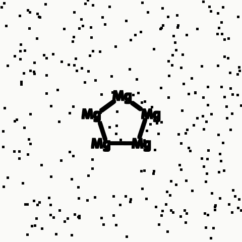 [Mg]1[Mg][Mg][Mg][Mg]1